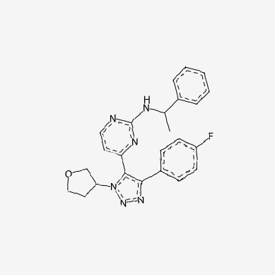 CC(Nc1nccc(-c2c(-c3ccc(F)cc3)nnn2C2CCOC2)n1)c1ccccc1